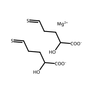 O=C([O-])C(O)CCC=S.O=C([O-])C(O)CCC=S.[Mg+2]